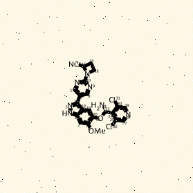 COc1cc2[nH]nc(-c3cnc(N4CCC4C#N)nc3)c2cc1O[C@H](N)c1c(Cl)cncc1Cl